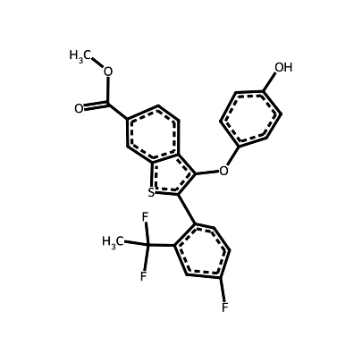 COC(=O)c1ccc2c(Oc3ccc(O)cc3)c(-c3ccc(F)cc3C(C)(F)F)sc2c1